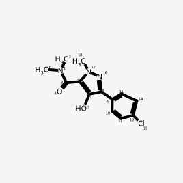 CN(C)C(=O)c1c(O)c(-c2ccc(Cl)cc2)nn1C